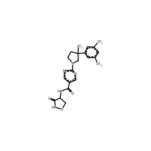 O=C(NC1CONC1=O)c1cnc(N2CCC(c3cc(C(F)(F)F)cc(C(F)(F)F)c3)(C(F)(F)F)C2)nc1